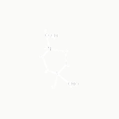 CC1(C=O)CCN(C(=O)O)CC1